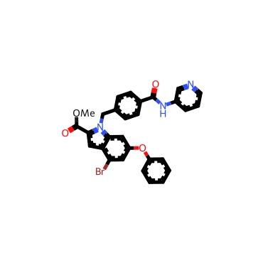 COC(=O)c1cc2c(Br)cc(Oc3ccccc3)cc2n1Cc1ccc(C(=O)Nc2cccnc2)cc1